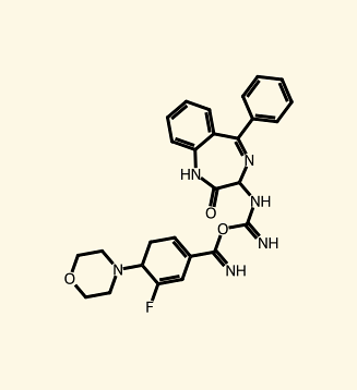 N=C(NC1N=C(c2ccccc2)c2ccccc2NC1=O)OC(=N)C1=CCC(N2CCOCC2)C(F)=C1